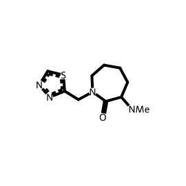 CNC1CCCCN(Cc2nncs2)C1=O